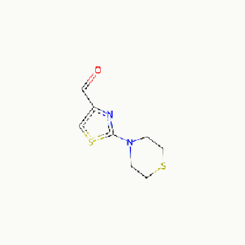 O=Cc1csc(N2CCSCC2)n1